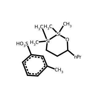 CCCC1CC[Si](C)(C)[Si](C)(C)O1.Cc1cccc(S(=O)(=O)O)c1